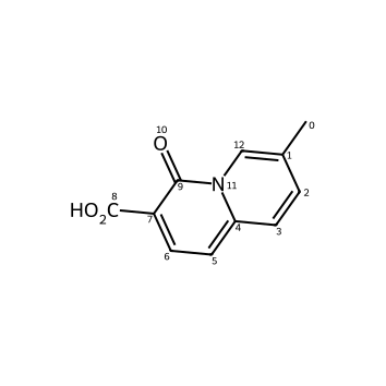 Cc1ccc2ccc(C(=O)O)c(=O)n2c1